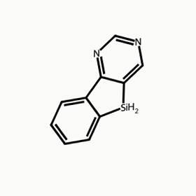 c1ccc2c(c1)[SiH2]c1cncnc1-2